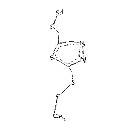 CSSc1nnc(SS)s1